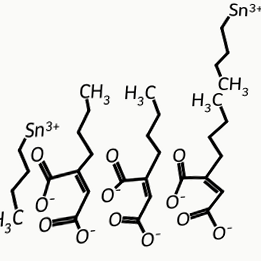 CCCCC(=CC(=O)[O-])C(=O)[O-].CCCCC(=CC(=O)[O-])C(=O)[O-].CCCCC(=CC(=O)[O-])C(=O)[O-].CCC[CH2][Sn+3].CCC[CH2][Sn+3]